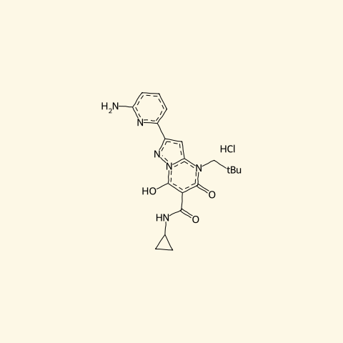 CC(C)(C)Cn1c(=O)c(C(=O)NC2CC2)c(O)n2nc(-c3cccc(N)n3)cc12.Cl